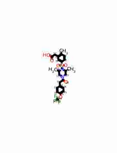 Cc1ccc(S(=O)(=O)N2C(C)CN(C(=O)Cc3ccc(OC(F)(F)F)cc3)C[C@@H]2C)cc1CC(=O)O